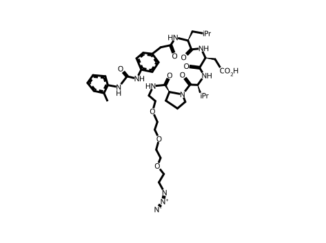 Cc1ccccc1NC(=O)Nc1ccc(CC(=O)N[C@@H](CC(C)C)C(=O)N[C@@H](CC(=O)O)C(=O)N[C@H](C(=O)N2CCC[C@H]2C(=O)NCCOCCOCCOCCN=[N+]=[N-])C(C)C)cc1